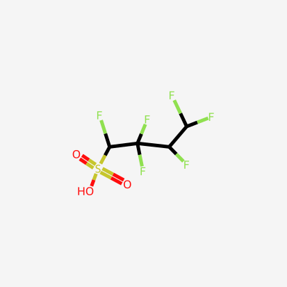 O=S(=O)(O)C(F)C(F)(F)C(F)C(F)F